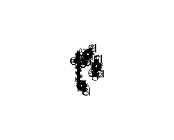 CCOC(=O)C(CCCCCc1ccc(Cl)cc1)OS(=O)(=O)c1ccc(Cl)cc1.O=S(=O)(Cl)c1ccc(Cl)cc1